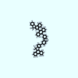 CC1(C)c2ccccc2-c2c1cc(-c1c3ccccc3c(-c3ccc4oc5ccc(-c6ccc7c(c6)-c6c(c8ccccc8c8ccccc68)C7(C)C)cc5c4c3)c3ccccc13)c1ccccc21